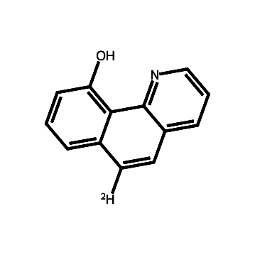 [2H]c1cc2cccnc2c2c(O)cccc12